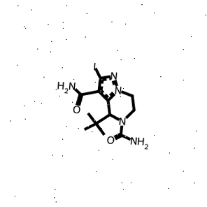 CC(C)(C)C1c2c(C(N)=O)c(I)nn2CCN1C(N)=O